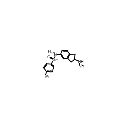 CCCNC1Cc2ccc(N(C)S(=O)(=O)c3ccc(C(C)C)cc3)cc2C1